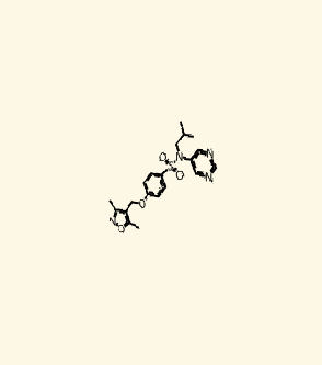 Cc1noc(C)c1COc1ccc(S(=O)(=O)N(CC(C)C)c2cncnc2)cc1